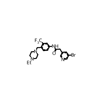 CCN1CCN(Cc2ccc(NC(=O)Cc3cncc(Br)c3)cc2C(F)(F)F)CC1